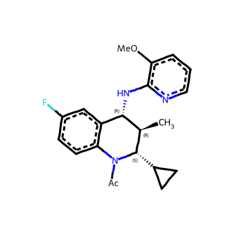 COc1cccnc1N[C@H]1c2cc(F)ccc2N(C(C)=O)[C@@H](C2CC2)[C@@H]1C